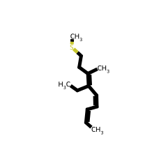 C\C=C/C=C\C(CC)=C(/C)CCSC